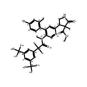 COC(=O)C1(C)C(=O)NCC1c1cc(-c2ccc(F)cc2C)c(N(C)C(=O)C(C)(C)c2cc(C(F)(F)F)cc(C(F)(F)F)c2)cn1